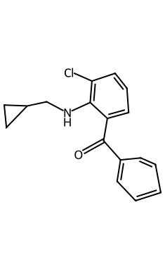 O=C(c1ccccc1)c1cccc(Cl)c1NCC1CC1